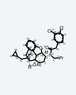 CC(=O)O[C@@]12CC[C@@H](N(CC(C)C)C(=O)Cc3ccc(Cl)c(Cl)c3)[C@@H]3Oc4cccc5c4[C@@]31CCN(CC1CC1)[C@@H]2C5